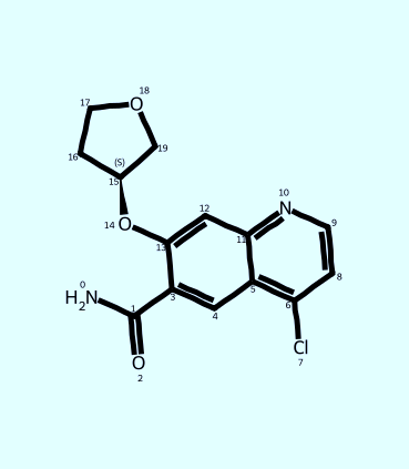 NC(=O)c1cc2c(Cl)ccnc2cc1O[C@H]1CCOC1